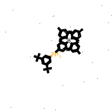 CC(C)(C)c1cc([PH3+])cc(C(C)(C)C)c1.Cc1cc(C)c([B-](c2c(C)cc(C)cc2C)(c2c(C)cc(C)cc2C)c2c(C)cc(C)cc2C)c(C)c1